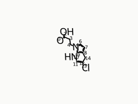 O=C(O)CCn1ccc2c1NC=C(Cl)C2